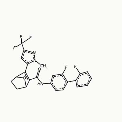 Cn1nc(C(F)(F)F)cc1C1=C(C(=O)Nc2ccc(-c3ccccc3F)c(F)c2)C2CCC1O2